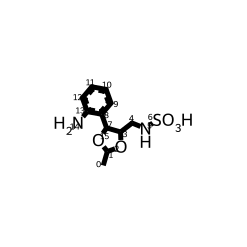 CC1OC(CNS(=O)(=O)O)C(c2ccccc2N)O1